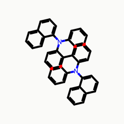 c1ccc(N(c2ccccc2-c2ccccc2N(c2ccccc2)c2cccc3ccccc23)c2cccc3ccccc23)cc1